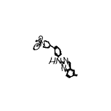 Cc1ccc2nc(Nc3cccc(C4CCN(S(C)(=O)=O)CC4)c3)ncc2c1